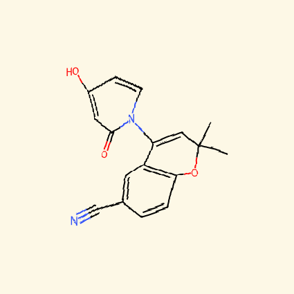 CC1(C)C=C(n2ccc(O)cc2=O)c2cc(C#N)ccc2O1